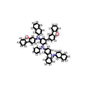 c1ccc(N(c2cc(-c3ccc4oc5ccccc5c4c3)cc(N(c3ccc4ccccc4c3)c3ccc4c(c3)oc3ccccc34)c2)c2ccc3c(c2)c2ccccc2n3-c2ccc3ccccc3c2)cc1